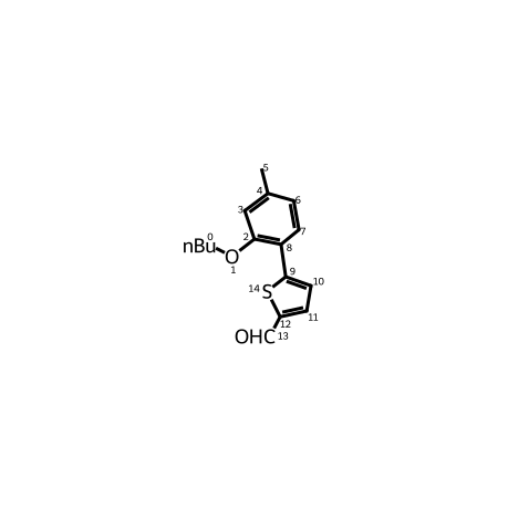 CCCCOc1cc(C)ccc1-c1ccc(C=O)s1